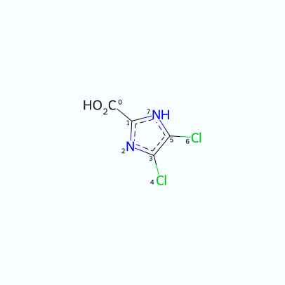 O=C(O)c1nc(Cl)c(Cl)[nH]1